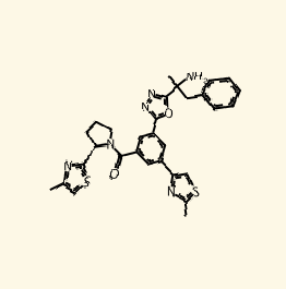 Cc1csc([C@H]2CCCN2C(=O)c2cc(-c3csc(C)n3)cc(-c3nnc(C(C)(N)Cc4ccccc4)o3)c2)n1